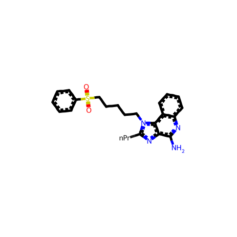 CCCc1nc2c(N)nc3ccccc3c2n1CCCCCS(=O)(=O)c1ccccc1